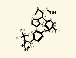 CSc1ccc(-n2nnnc2C(F)(F)F)cc1[C@H]1CO[C@]2(CC[C@H](CO)[C@H]2c2ccc(F)cc2)C1